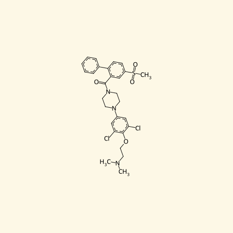 CN(C)CCOc1c(Cl)cc(N2CCN(C(=O)c3cc(S(C)(=O)=O)ccc3-c3ccccc3)CC2)cc1Cl